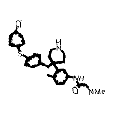 CNCC(=O)Nc1ccc(C)c(C2(Cc3ccc(Sc4ccc(Cl)cc4)cc3)CCNCC2)c1